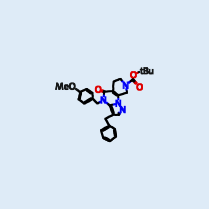 COc1ccc(Cn2c(=O)c3c(n4ncc(Cc5ccccc5)c24)CN(C(=O)OC(C)(C)C)CC3)cc1